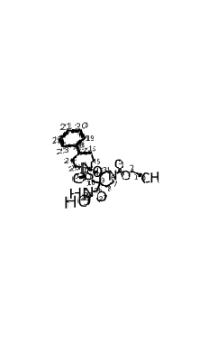 C#CCOC(=O)N1CCC(CS(=O)(=O)N2CC=C(c3ccccc3)CC2)(C(=O)NO)CC1